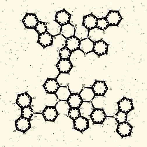 c1cc(B2c3cccc(-c4ccc5c(c4)oc4c6c(c7c(c45)Oc4ccccc4B7c4cccc5c4sc4ccccc45)Oc4ccccc4B6c4cccc5c4sc4ccccc45)c3Oc3c4c(c5c(oc6ccccc65)c32)B(c2cccc(-n3c5ccccc5c5ccccc53)c2)c2ccccc2O4)cc(-n2c3ccccc3c3ccccc32)c1